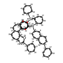 c1ccc(-c2ccc3cc(N(c4ccc5ccc6ccc7nc(-c8ccccc8)oc7c6c5c4)c4ccccc4[SiH](c4ccccc4)c4ccccc4)ccc3c2)cc1